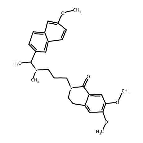 COc1ccc2cc(C(C)N(C)CCCN3CCc4cc(OC)c(OC)cc4C3=O)ccc2c1